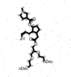 CC/C=C\CC1C(CC(=O)OCC(COCCCCCCCCCCCC)OCCCCCCCCCCCC)CCC1OC(=O)C1CCN(C)C1